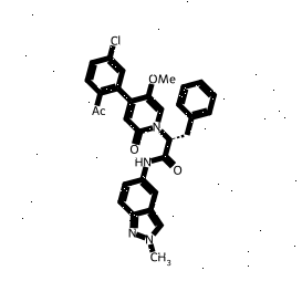 COc1cn([C@H](Cc2ccccc2)C(=O)Nc2ccc3nn(C)cc3c2)c(=O)cc1-c1cc(Cl)ccc1C(C)=O